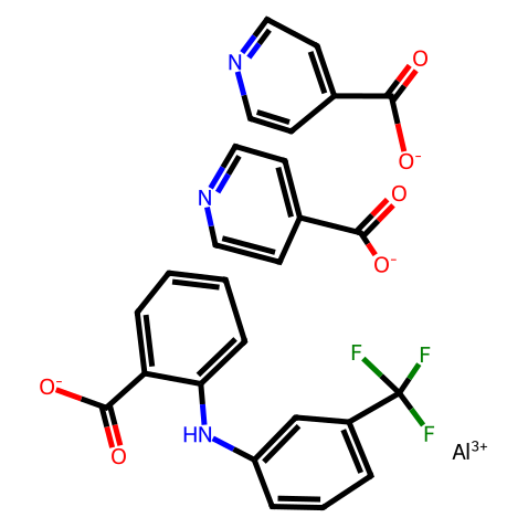 O=C([O-])c1ccccc1Nc1cccc(C(F)(F)F)c1.O=C([O-])c1ccncc1.O=C([O-])c1ccncc1.[Al+3]